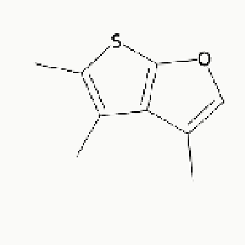 Cc1sc2occ(C)c2c1C